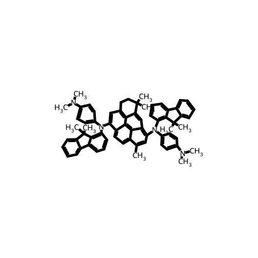 Cc1cc(N(c2ccc(N(C)C)cc2)c2cccc3c2C(C)(C)c2ccccc2-3)c2cc3c4c(cc(N(c5ccc(N(C)C)cc5)c5cccc6c5C(C)(C)c5ccccc5-6)c5ccc1c2c54)CCC3(C)C